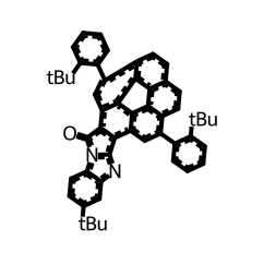 CC(C)(C)c1ccc2c(c1)nc1c3c4cc(-c5ccccc5C(C)(C)C)c5ccc6ccc7c(-c8ccccc8C(C)(C)C)cc(c3c(=O)n21)c1c7c6c5c41